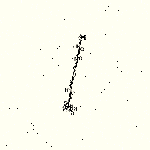 CC(C)C(C)OCCCNC(=O)CCCC(=O)NCCCOCCOCCOCCCNC(=O)CCCC[C@@H]1SC[C@@H]2NC(=O)N[C@@H]21